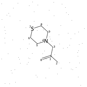 C=C(C)CN1CCSCC1